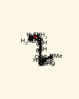 C=C(F)/C(N)=c1/cnc(NC(=O)CCNC(=O)CCCCCNc2cccc(C=O)c2C(=O)N(C)C(C=O)CCC(=O)NC)c/c1=C/Cc1cncc(N)c1C